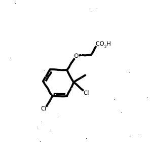 CC1(Cl)C=C(Cl)C=CC1OCC(=O)O